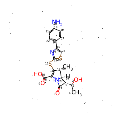 CC(O)[C@@H]1C(=O)N2C(C(=O)O)=C(Sc3nc(-c4ccc(N)cc4)cs3)[C@H](C)[C@@H]12